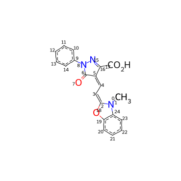 CN1C(=CC=C2C(=O)N(c3ccccc3)N=C2C(=O)O)Oc2ccccc21